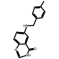 Cc1ccc(CNc2ccc3nc[nH]c(=O)c3c2)cc1